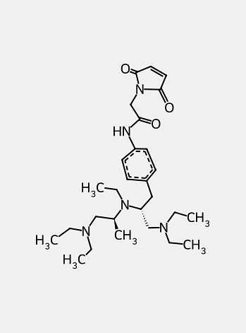 CCN(CC)C[C@@H](Cc1ccc(NC(=O)CN2C(=O)C=CC2=O)cc1)N(CC)[C@@H](C)CN(CC)CC